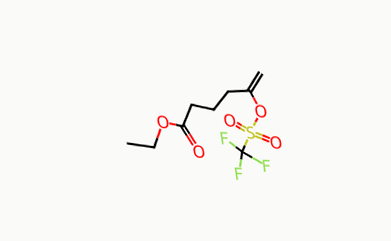 C=C(CCCC(=O)OCC)OS(=O)(=O)C(F)(F)F